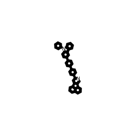 c1ccc(-n2c3ccccc3c3cc(-c4ccc(-c5ccc(-c6cc7c(cn6)-c6cccc8cccc-7c68)cc5)cc4)ccc32)cc1